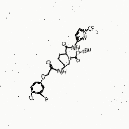 CC(C)(C)OC(=O)N1CC(NC(=O)COc2ccc(Cl)c(F)c2)CCC1C(=O)Nc1ccn(C(F)(F)F)n1